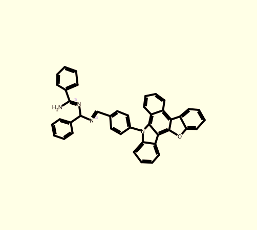 N/C(=N\C(/N=C/c1ccc(-n2c3ccccc3c3c4oc5ccccc5c4c4ccccc4c32)cc1)c1ccccc1)c1ccccc1